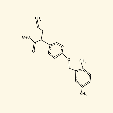 C=CCC(C(=O)OC)c1ccc(OCc2cc(C)ccc2C)cc1